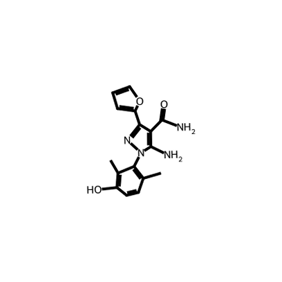 Cc1ccc(O)c(C)c1-n1nc(-c2ccco2)c(C(N)=O)c1N